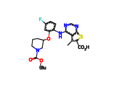 Cc1c(C(=O)O)sc2ncnc(Nc3ccc(F)cc3OC3CCCN(C(=O)OC(C)(C)C)C3)c12